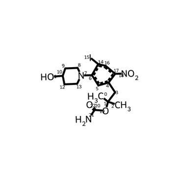 CC(C)(Cc1cc(N2CCC(O)CC2)c(I)cc1[N+](=O)[O-])OC(N)=O